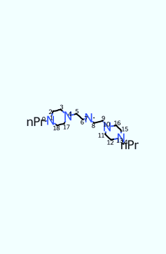 CCCN1CCN(CC[N]CCN2CCN(CCC)CC2)CC1